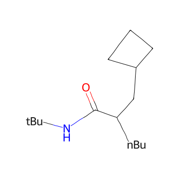 CCCCC(CC1CCC1)C(=O)NC(C)(C)C